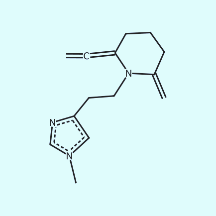 C=C=C1CCCC(=C)N1CCc1cn(C)cn1